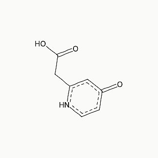 O=C(O)Cc1cc(=O)cc[nH]1